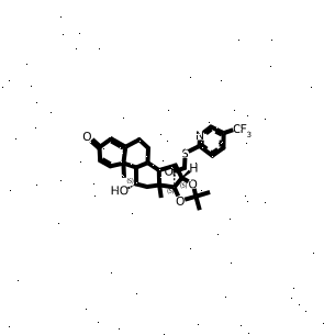 CC1(C)O[C@H]2CC3C4CCC5=CC(=O)C=CC5(C)C4[C@@H](O)CC3(C)[C@]2(C(=O)CSc2ccc(C(F)(F)F)cn2)O1